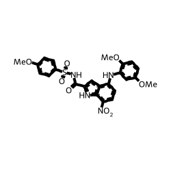 COc1ccc(S(=O)(=O)NC(=O)c2cc3c(Nc4cc(OC)ccc4OC)ccc([N+](=O)[O-])c3[nH]2)cc1